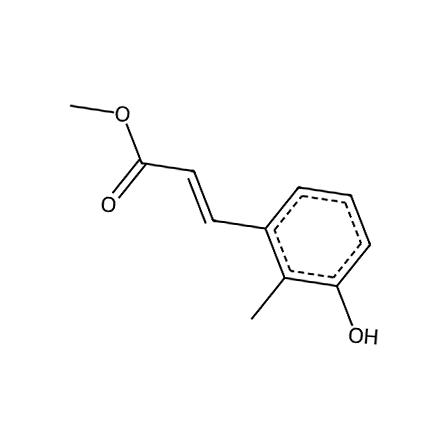 COC(=O)C=Cc1cccc(O)c1C